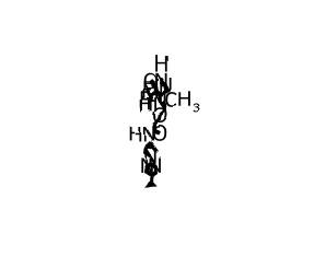 CC(COCCC(=O)NC1C2CN(c3ncc(C4CC4)cn3)CC21)Nc1cn[nH]c(=O)c1C(F)(F)F